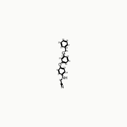 N#CCNc1ccc(Oc2cccc(OCc3ccccc3)c2)cc1